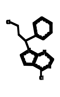 ClCCC(c1ccccc1)n1ccc2c(Cl)ncnc21